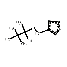 CC(C)(O)C(C)(C)OBc1cn[nH]c1